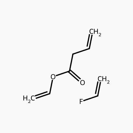 C=CCC(=O)OC=C.C=CF